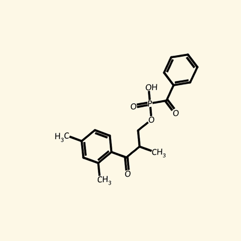 Cc1ccc(C(=O)C(C)COP(=O)(O)C(=O)c2ccccc2)c(C)c1